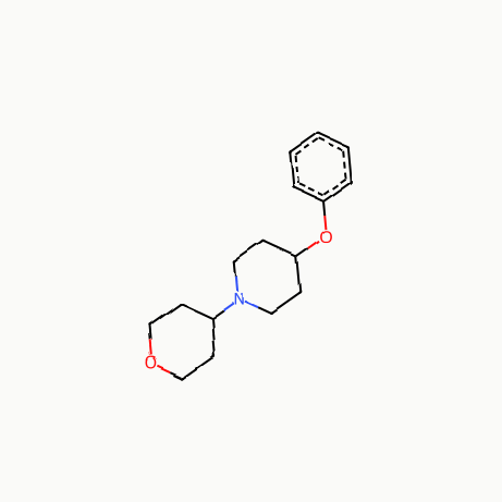 c1ccc(OC2CCN(C3CCOCC3)CC2)cc1